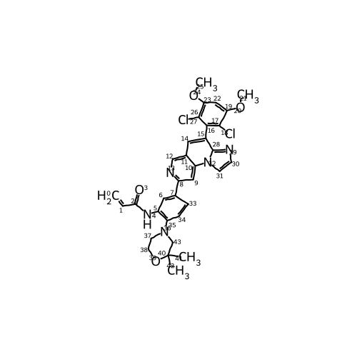 C=CC(=O)Nc1cc(-c2cc3c(cn2)cc(-c2c(Cl)c(OC)cc(OC)c2Cl)c2nccn23)ccc1N1CCOC(C)(C)C1